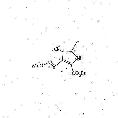 CCOC(=O)c1[nH]c(C)c(Cl)c1/C=N/OC